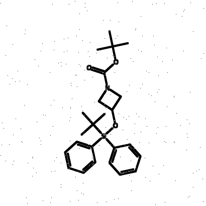 CC(C)(C)OC(=O)N1CC(O[Si](c2ccccc2)(c2ccccc2)C(C)(C)C)C1